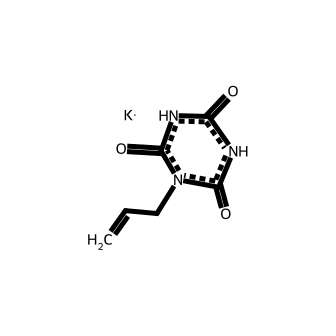 C=CCn1c(=O)[nH]c(=O)[nH]c1=O.[K]